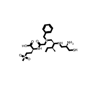 CC[C@H](C)[C@@H](CN(CC(=O)N[C@@H](CCS(C)(=O)=O)C(=O)O)Cc1ccccc1)NC[C@@H](N)CS